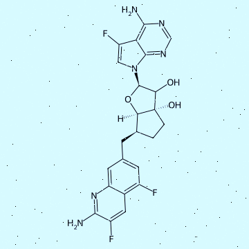 Nc1nc2cc(C[C@@H]3CC[C@]4(O)C(O)[C@H](n5cc(F)c6c(N)ncnc65)O[C@H]34)cc(F)c2cc1F